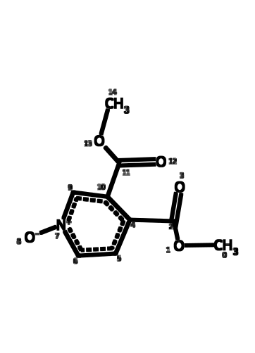 COC(=O)c1cc[n+]([O-])cc1C(=O)OC